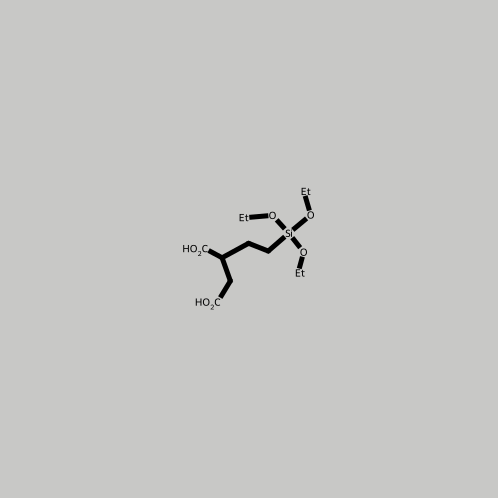 CCO[Si](CCC(CC(=O)O)C(=O)O)(OCC)OCC